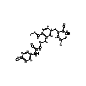 CCOc1ccc(CC(OC(C)C)C(=O)O)cc1CCOC(=O)Nc1ccc(Cl)cc1